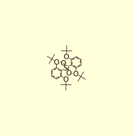 CO[Si](OC)(c1c(OC(C)(C)C)cccc1OC(C)(C)C)c1c(OC(C)(C)C)cccc1OC(C)(C)C